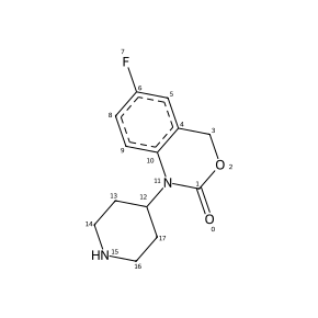 O=C1OCc2cc(F)ccc2N1C1CCNCC1